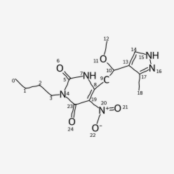 CCCCn1c(=O)[nH]c(CC(OC)c2c[nH]nc2C)c([N+](=O)[O-])c1=O